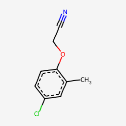 Cc1cc(Cl)ccc1OCC#N